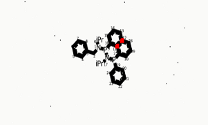 CC(C)N(Cc1ccccc1)P(c1ccccc1)N(C(C)C)P(c1ccccc1)c1ccccc1